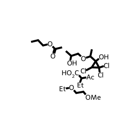 CC(O)COC(C)C1(O)C(Cl)C1(Cl)Cl.CCC(C(C)=O)C(=O)O.CCCOC(C)=O.CCOCCOC